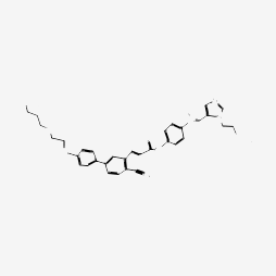 CCCCOCCOc1ccc(-c2ccc(C#N)c(/C=C/C(=O)Nc3ccc([S+]([O-])Cc4cncn4CCC)cc3)c2)cc1